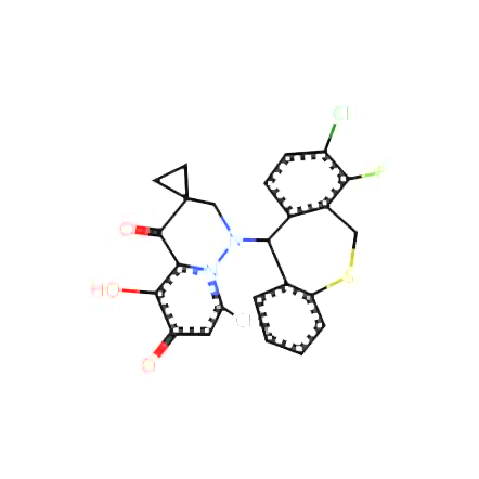 Cc1cc(=O)c(O)c2n1N(C1c3ccccc3SCc3c1ccc(Cl)c3F)CC1(CC1)C2=O